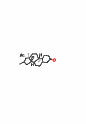 CC(=O)[C@H]1C(C)C[C@H]2[C@@H]3CCC4CC(=O)CC[C@]4(C)[C@H]3CC[C@]12C